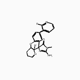 CN1C(=O)[C@@]2(N=C1N)c1cc(-c3cccnc3F)ccc1OC1CCCO[C@H]12